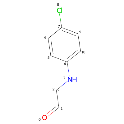 O=C[CH]Nc1ccc(Cl)cc1